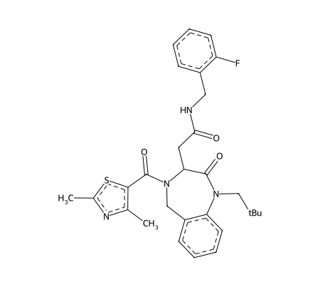 Cc1nc(C)c(C(=O)N2Cc3ccccc3N(CC(C)(C)C)C(=O)C2CC(=O)NCc2ccccc2F)s1